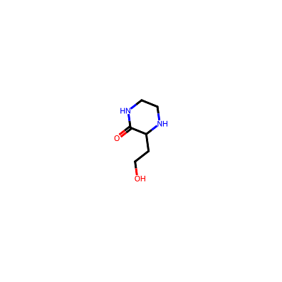 O=C1NCCNC1CCO